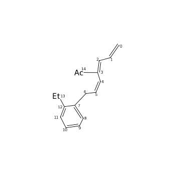 C=C/C=C(\C=C/Cc1ccccc1CC)C(C)=O